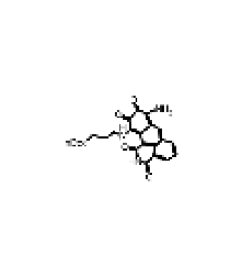 CCCCCCCCCCCCCNC1=c2c3c4c(cccc4cc2=C(N)C(=O)C1=O)C(=O)NC3=O